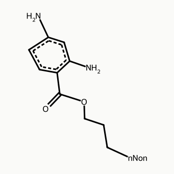 CCCCCCCCCCCCOC(=O)c1ccc(N)cc1N